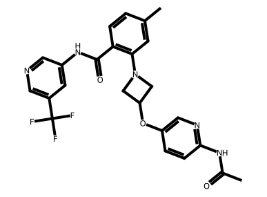 CC(=O)Nc1ccc(OC2CN(c3cc(C)ccc3C(=O)Nc3cncc(C(F)(F)F)c3)C2)cn1